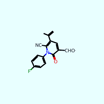 C=C(C)c1cc([C]=O)c(=O)n(-c2ccc(F)cc2)c1C#N